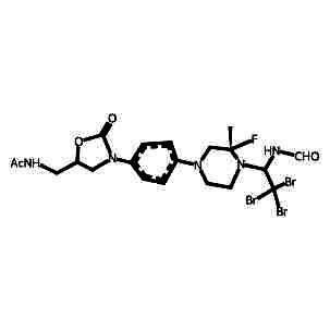 CC(=O)NCC1CN(c2ccc(N3CCN(C(NC=O)C(Br)(Br)Br)[C@@](C)(F)C3)cc2)C(=O)O1